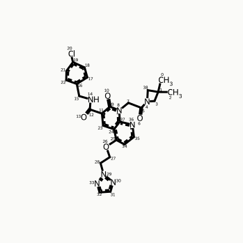 CC1(C)CN(C(=O)Cn2c(=O)c(C(=O)NCc3ccc(Cl)cc3)cc3c(OCCn4nccn4)ccnc32)C1